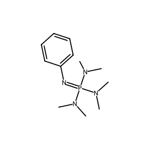 CN(C)P(=Nc1ccccc1)(N(C)C)N(C)C